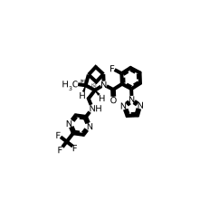 C[C@@H]1C2CC(C2)N(C(=O)c2c(F)cccc2-n2nccn2)[C@@H]1CNc1cnc(C(F)(F)F)cn1